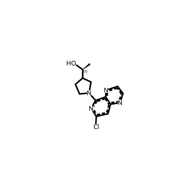 C[C@H](O)C1CCN(c2nc(Cl)cc3nccnc23)C1